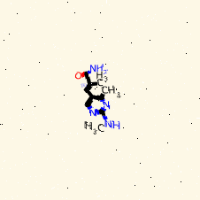 CNc1ncc(/C=C(\C)C(N)=O)c(C)n1